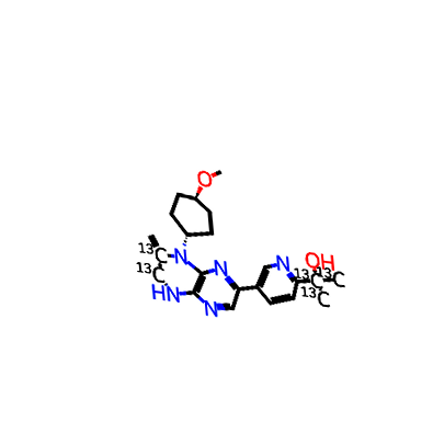 C=[13C]1[13CH2]Nc2ncc(-c3ccc([13C]([13CH3])([13CH3])O)nc3)nc2N1[C@H]1CC[C@H](OC)CC1